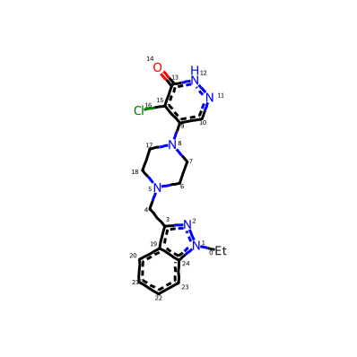 CCn1nc(CN2CCN(c3cn[nH]c(=O)c3Cl)CC2)c2ccccc21